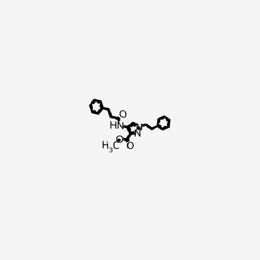 COC(=O)c1nn(CCc2ccccc2)cc1NC(=O)CCc1ccccc1